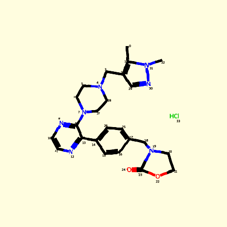 Cc1c(CN2CCN(c3nccnc3-c3ccc(CN4CCOC4=O)cc3)CC2)cnn1C.Cl